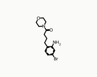 Nc1cc(Br)ccc1CCCC(=O)N1CCOCC1